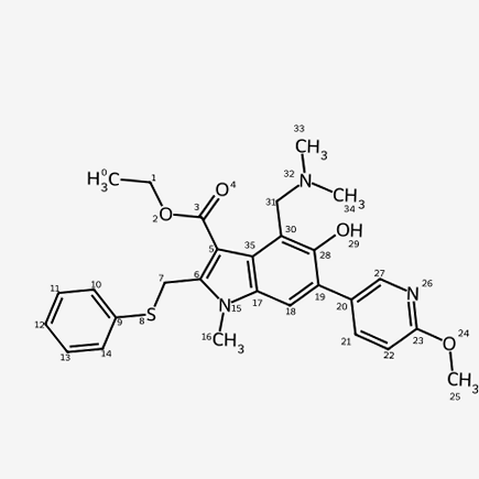 CCOC(=O)c1c(CSc2ccccc2)n(C)c2cc(-c3ccc(OC)nc3)c(O)c(CN(C)C)c12